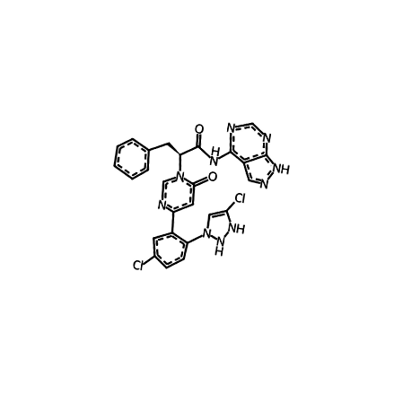 O=C(Nc1ncnc2[nH]ncc12)[C@H](Cc1ccccc1)n1cnc(-c2cc(Cl)ccc2N2C=C(Cl)NN2)cc1=O